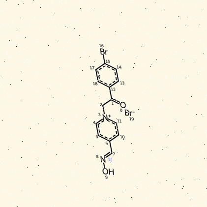 O=C(C[n+]1ccc(/C=N/O)cc1)c1ccc(Br)cc1.[Br-]